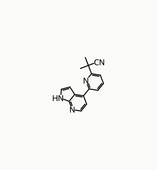 CC(C)(C#N)c1cccc(-c2ccnc3[nH]ccc23)n1